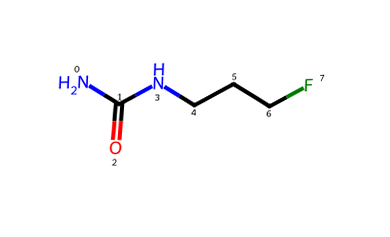 NC(=O)NCCCF